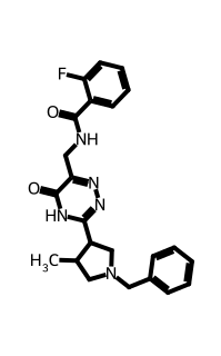 CC1CN(Cc2ccccc2)CC1c1nnc(CNC(=O)c2ccccc2F)c(=O)[nH]1